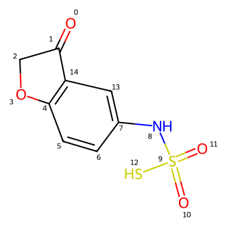 O=C1COc2ccc(NS(=O)(=O)S)cc21